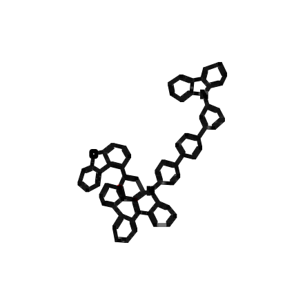 c1cc(-c2cccc3oc4ccccc4c23)cc(N(c2ccc(-c3ccc(-c4cccc(-n5c6ccccc6c6ccccc65)c4)cc3)cc2)c2ccccc2-c2cc3ccccc3c3ccccc23)c1